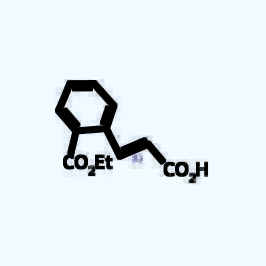 CCOC(=O)c1ccccc1/C=C/C(=O)O